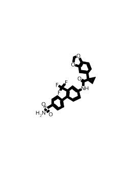 NS(=O)(=O)c1ccc(-c2ccc(NC(=O)C3(c4ccc5c(c4)OCO5)CC3)cc2C(F)(F)F)cc1